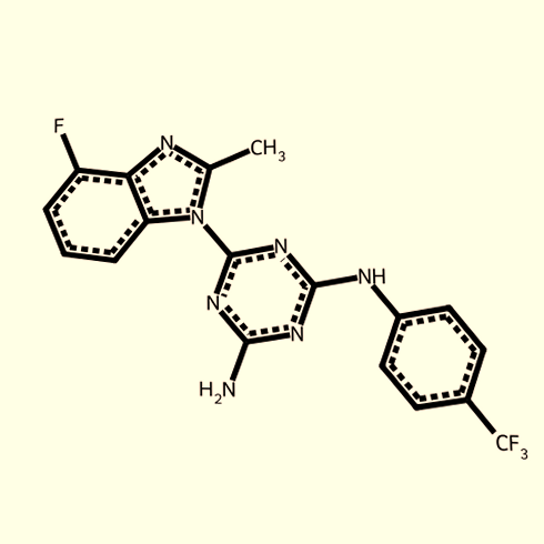 Cc1nc2c(F)cccc2n1-c1nc(N)nc(Nc2ccc(C(F)(F)F)cc2)n1